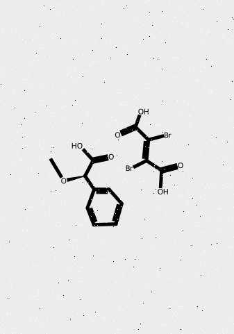 CO[C@@H](C(=O)O)c1ccccc1.O=C(O)C(Br)=C(Br)C(=O)O